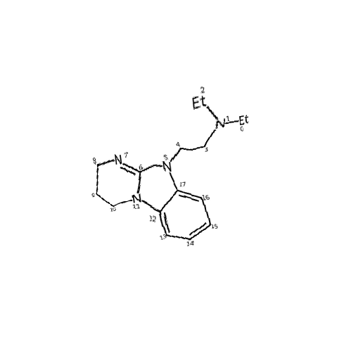 CCN(CC)CCN1C2=NCCCN2c2ccccc21